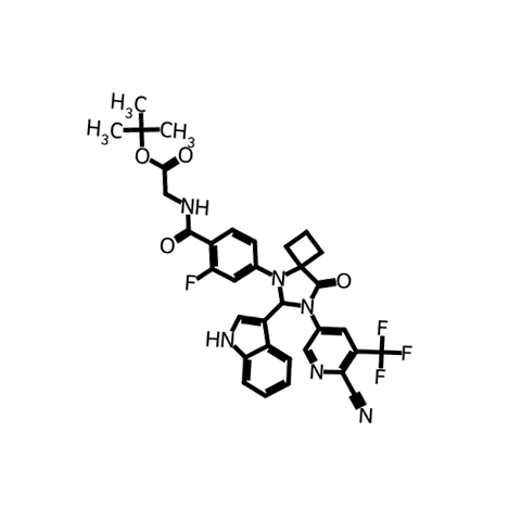 CC(C)(C)OC(=O)CNC(=O)c1ccc(N2C(c3c[nH]c4ccccc34)N(c3cnc(C#N)c(C(F)(F)F)c3)C(=O)C23CCC3)cc1F